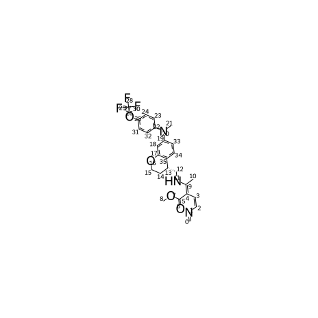 C=N/C=C\C(C(=O)OC)=C(/C)NC[C@@H]1CCOc2cc(N(C)c3ccc(OC(F)(F)F)cc3)ccc21